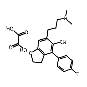 CN(C)CCCc1cc2c(c(-c3ccc(F)cc3)c1C#N)CCO2.O=C(O)C(=O)O